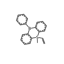 C=CS1(C)c2ccccc2B(c2ccccc2)c2ccccc21